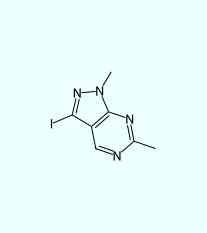 Cc1ncc2c(I)nn(C)c2n1